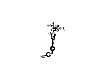 CC(CCN1Cc2cc(C#Cc3ccc(CN4CCC(O)CC4)cc3)cn2C1=O)(C(=O)NO)S(C)(=O)=O